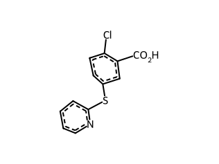 O=C(O)c1cc(Sc2ccccn2)ccc1Cl